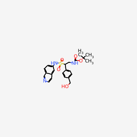 CC(C)(C)OC(=O)NCC(c1ccc(CO)cc1)S(=O)(=O)Nc1ccc2cnccc2c1